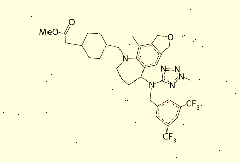 COC(=O)CC1CCC(CN2CCCC(N(Cc3cc(C(F)(F)F)cc(C(F)(F)F)c3)c3nnn(C)n3)c3cc4c(c(C)c32)COC4)CC1